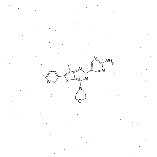 Cc1c(-c2cccnc2)sc2c(N3CCOCC3)nc(-c3cnc(N)nc3)nc12